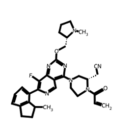 C=CC(=O)N1CCN(c2nc(OC[C@@H]3CCCN3C)nc3c(F)c(-c4cccc5c4C(C)CC5)ncc23)C[C@@H]1CC#N